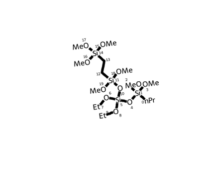 CCC[Si](OC)(OC)O[Si](OCC)(OCC)O[Si](CC[Si](OC)(OC)OC)(OC)OC